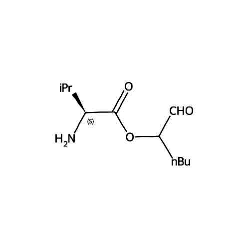 CCCCC(C=O)OC(=O)[C@@H](N)C(C)C